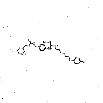 N#CN=C(NCCCCCCOc1ccc(Cl)cc1)Nc1cc[n+](COC(=O)OCC2CCCNC2)cc1